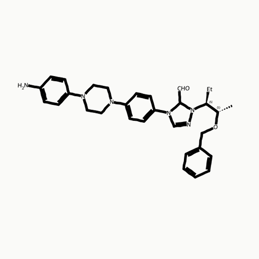 CC[C@@H]([C@H](C)OCc1ccccc1)N1N=CN(c2ccc(N3CCN(c4ccc(N)cc4)CC3)cc2)C1C=O